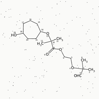 CC(C)(C=O)OCCOC(=O)C(C)(C)OC1CCCC(O)CC1